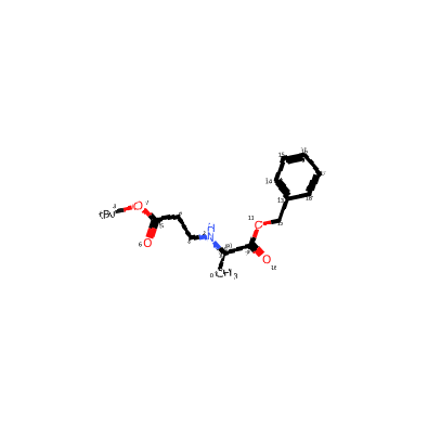 C[C@@H](NCCC(=O)OC(C)(C)C)C(=O)OCc1ccccc1